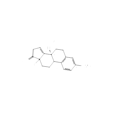 CCC12CC[C@@H]3c4ccc(OC)cc4C[C@@H](C)[C@H]3C1=CCC2=O